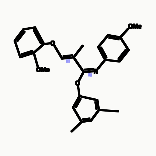 COc1ccc(/N=C(Oc2cc(C)cc(C)c2)\C(C)=C\Oc2ccccc2OC)cc1